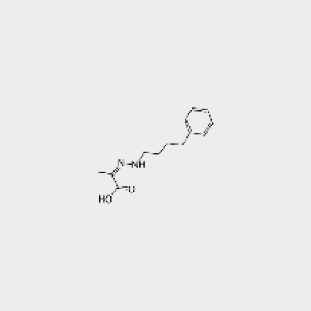 CC(=NNCCCCc1ccccc1)C(=O)O